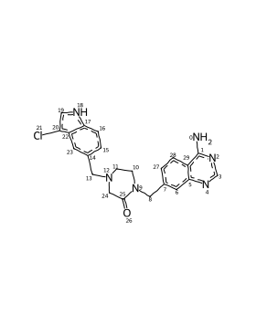 Nc1ncnc2cc(CN3CCN(Cc4ccc5[nH]cc(Cl)c5c4)CC3=O)ccc12